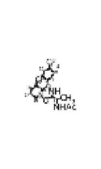 CC(=O)NC(C)C(=O)N[C@@H](c1ccc(C(F)(F)F)cc1)c1ncccc1C(F)(F)F